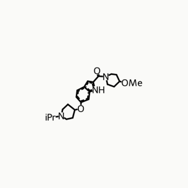 COC1CCN(C(=O)c2cc3ccc(OC4CCN(C(C)C)CC4)cc3[nH]2)CC1